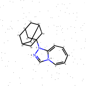 C1=CC=C2N(C=C1)C=NN2C12CC3CC(CC(C3)C1)C2